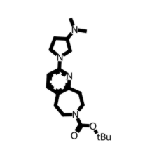 CN(C)C1CCN(c2ccc3c(n2)CCN(C(=O)OC(C)(C)C)CC3)C1